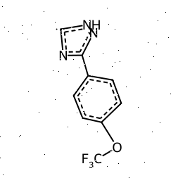 FC(F)(F)Oc1ccc(-c2n[c][nH]n2)cc1